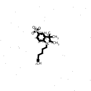 C#CCCCC[N+]1=C(C)C(C)(C)c2cc(S(=O)(=O)[O-])ccc21